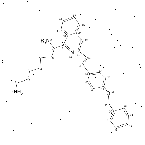 NCCCCCCC(N)c1nc(C=Cc2ccc(OCc3ccccc3)cc2)nc2ccccc12